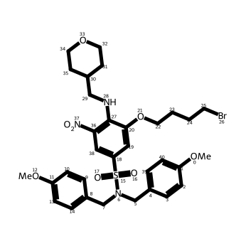 COc1ccc(CN(Cc2ccc(OC)cc2)S(=O)(=O)c2cc(OCCCCBr)c(NCC3CCOCC3)c([N+](=O)[O-])c2)cc1